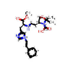 COC(=O)[C@H](Cc1cn(CCc2ccccc2)cn1)NCC[C@H]1COC(C)(C)N1C(=O)O